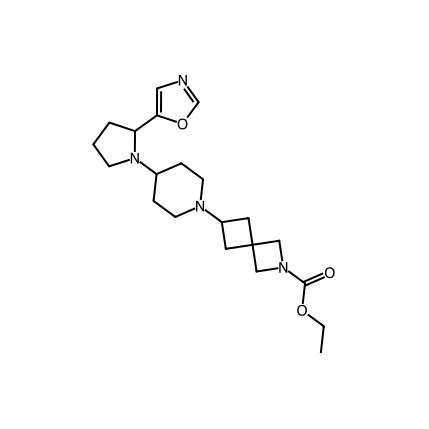 CCOC(=O)N1CC2(CC(N3CCC(N4CCCC4c4cnco4)CC3)C2)C1